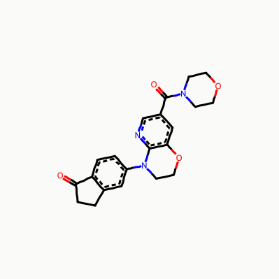 O=C1CCc2cc(N3CCOc4cc(C(=O)N5CCOCC5)cnc43)ccc21